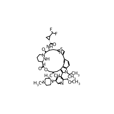 CCn1c(-c2cc(N3CCN(C)CC3)cnc2[C@H](C)OC)c2c3cc(ccc31)-c1csc(n1)C[C@H](NC(=O)[C@@H]1CC1C(F)F)C(=O)N1CCC[C@H](N1)C(=O)OCC(C)(C)C2